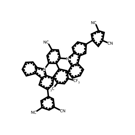 N#Cc1cc(C#N)cc(-c2ccc3c(c2)c2ccccc2n3-c2cc(C#N)cc(-n3c4ccccc4c4cc(-c5cc(C#N)cc(C#N)c5)ccc43)c2-c2cc(C(F)(F)F)cc(C(F)(F)F)c2)c1